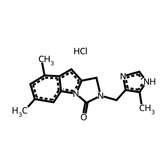 Cc1cc(C)c2cc3n(c2c1)C(=O)N(Cc1nc[nH]c1C)C3.Cl